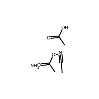 CC#N.CC(=O)O.CC(=O)O.N